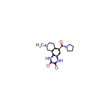 CN1CCc2c(C(=O)N3CCCC3)cc3[nH]c(=O)c(=O)[nH]c3c2C1